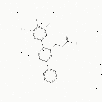 Cc1cc(-c2ccc(-c3ccccc3)cc2CCC(N)=O)cc(O)c1C